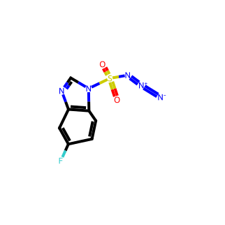 [N-]=[N+]=NS(=O)(=O)n1cnc2cc(F)ccc21